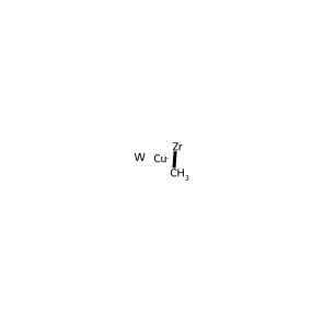 [CH3][Zr].[Cu].[W]